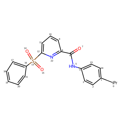 CC(C)c1ccc(NC(=O)c2cccc(S(=O)(=O)c3ccccc3)n2)cc1